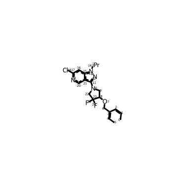 C/C=C\C(=C/C)COC1CN(c2nn(C(C)C)c3cc(Cl)ncc23)CC1(F)F